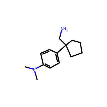 CN(C)c1ccc(C2(CN)CCCC2)cc1